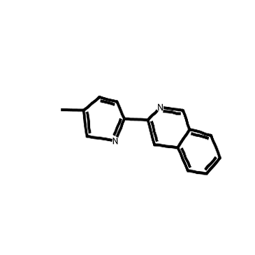 Cc1ccc(-c2cc3ccccc3cn2)nc1